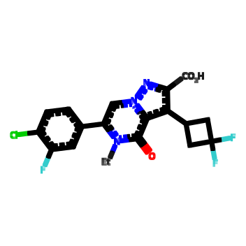 CCn1c(-c2ccc(Cl)c(F)c2)cn2nc(C(=O)O)c(C3CC(F)(F)C3)c2c1=O